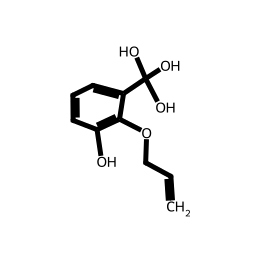 C=CCOc1c(O)cccc1C(O)(O)O